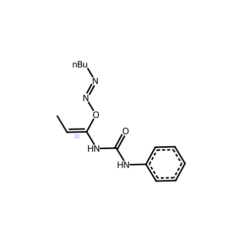 C/C=C(/NC(=O)Nc1ccccc1)ON=NCCCC